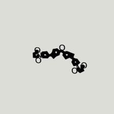 O=C(c1ccc2c(c1)C=C2c1ccc(N2C(=O)C=CC2=O)cc1)c1ccc2c(c1)C=C2c1ccc(N2C(=O)C=CC2=O)cc1